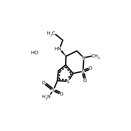 CCN[C@H]1CN(C)S(=O)(=O)c2sc(S(N)(=O)=O)cc21.Cl